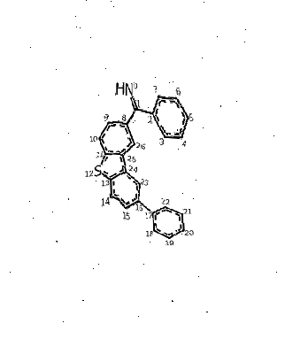 N=C(c1ccccc1)c1ccc2sc3ccc(-c4ccccc4)cc3c2c1